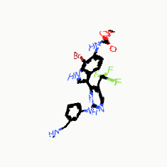 CNCc1cccc(Nc2ncc(C(F)(F)F)c(-c3c[nH]c4c(Br)c(NC(=O)OC)ccc34)n2)c1